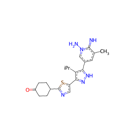 Cc1cc(-c2[nH]nc(-c3cnc(C4CCC(=O)CC4)s3)c2C(C)C)cn(N)c1=N